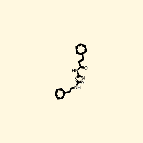 O=C(C=Cc1ccccc1)Nc1nnc(NCCc2ccccc2)s1